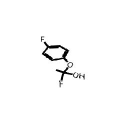 CC(O)(F)Oc1ccc(F)cc1